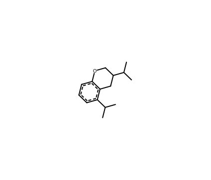 CC(C)c1cccc2c1CC(C(C)C)CO2